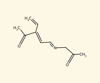 C=C/C(=C\C=N\CC(C)=O)C(C)=O